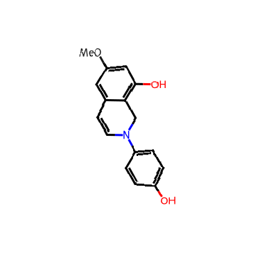 COc1cc(O)c2c(c1)C=CN(c1ccc(O)cc1)C2